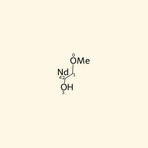 COCCO.[Nd]